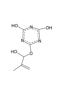 C=C(C)C(O)Oc1nc(O)nc(O)n1